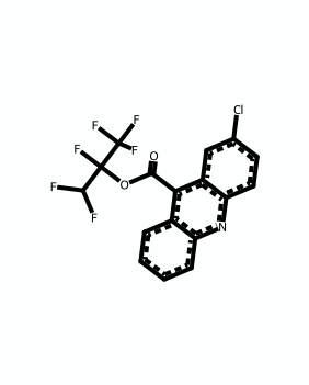 O=C(OC(F)(C(F)F)C(F)(F)F)c1c2ccccc2nc2ccc(Cl)cc12